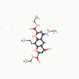 CCCc1c2oc(C(=O)OCC)cc(=O)c2cc2c(=NOC)cc(C(=O)OCC)oc12